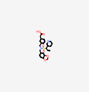 C=CC(c1cccnc1)S(=O)(=O)N(Cc1cccc(CC(=O)O)c1)Cc1ccc2c(c1)OCO2